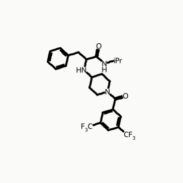 CC(C)NC(=O)C(Cc1ccccc1)NC1CCN(C(=O)c2cc(C(F)(F)F)cc(C(F)(F)F)c2)CC1